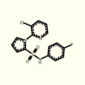 O=S(=O)(Nc1ccc(F)cc1)c1cccn1-c1ncccc1Cl